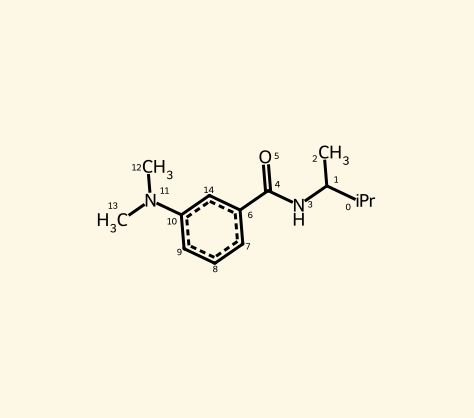 CC(C)C(C)NC(=O)c1cccc(N(C)C)c1